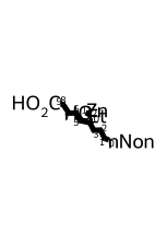 CCCCCCCCCCCCCCCCCC(=O)O.CCO.[Zn]